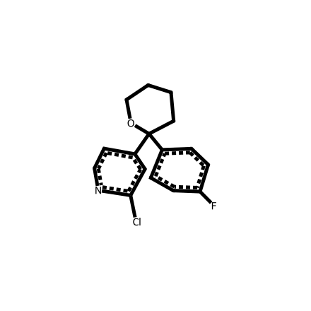 Fc1ccc(C2(c3ccnc(Cl)c3)CCCCO2)cc1